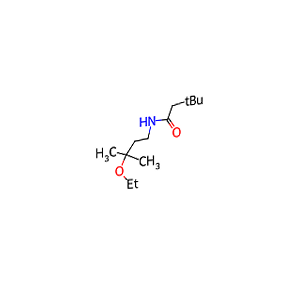 CCOC(C)(C)CCNC(=O)CC(C)(C)C